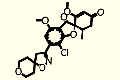 COC1=CC(=O)C[C@@H](C)[C@]12Oc1c(Cl)c(C3=NOC4(CCOCC4)C3)cc(OC)c1C2=O